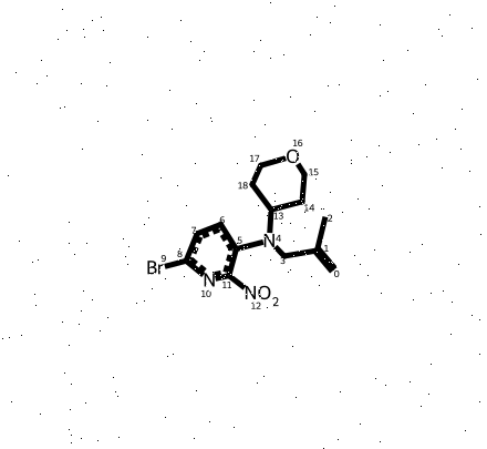 C=C(C)CN(c1ccc(Br)nc1[N+](=O)[O-])C1CCOCC1